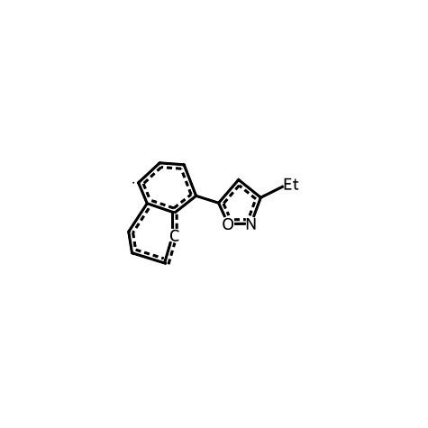 CCc1cc(-c2cc[c]c3ccccc23)on1